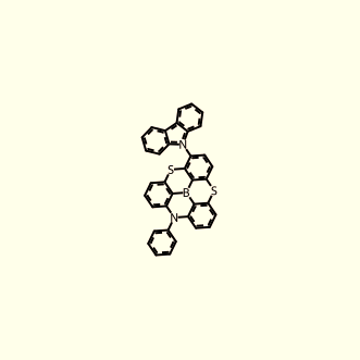 c1ccc(N2c3cccc4c3B3c5c(cccc52)Sc2c(-n5c6ccccc6c6ccccc65)ccc(c23)S4)cc1